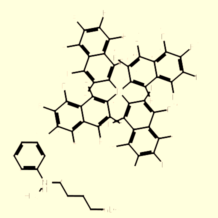 CCCCCCCCCCCCCC[NH+](C)c1ccccc1.Fc1c(F)c(F)c2c(F)c([B-](c3c(F)c(F)c4c(F)c(F)c(F)c(F)c4c3F)(c3c(F)c(F)c4c(F)c(F)c(F)c(F)c4c3F)c3c(F)c(F)c4c(F)c(F)c(F)c(F)c4c3F)c(F)c(F)c2c1F